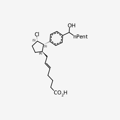 CCCCCC(O)c1ccc([C@@H]2[C@@H](CC=CCCCC(=O)O)CC[C@@H]2Cl)cc1